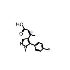 C/C(=C/C(=O)O)c1cnn(C)c1-c1ccc(F)cc1